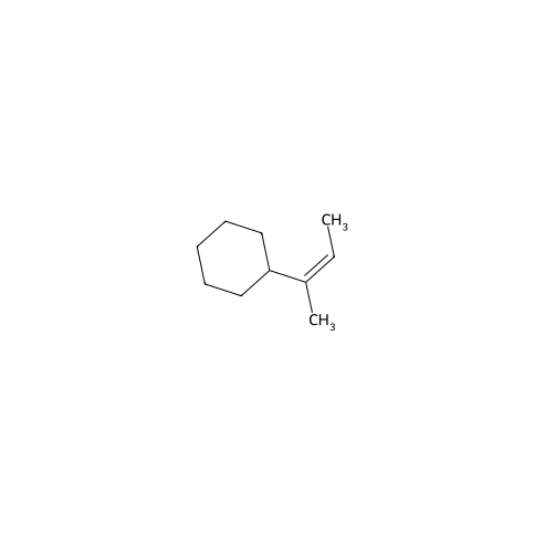 C/C=C(/C)C1CCCCC1